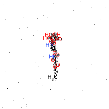 CCCCCCOC(=O)CCC(=O)CNC(=O)OCc1ccc(NC(=O)OC2OC(OC=O)C(O)C(O)C2O)cc1